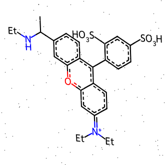 CCNC(C)c1ccc2c(-c3ccc(S(=O)(=O)O)cc3S(=O)(=O)O)c3ccc(=[N+](CC)CC)cc-3oc2c1